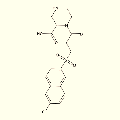 O=C(O)C1CNCCN1C(=O)CCS(=O)(=O)c1ccc2cc(Cl)ccc2c1